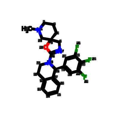 CN1CCC[C@]2(CN=C(N3CCc4ccccc4[C@@H]3c3cc(F)c(F)c(F)c3)O2)C1